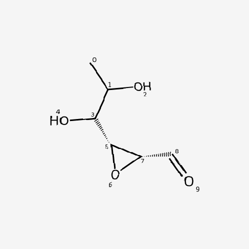 CC(O)C(O)[C@H]1O[C@H]1C=O